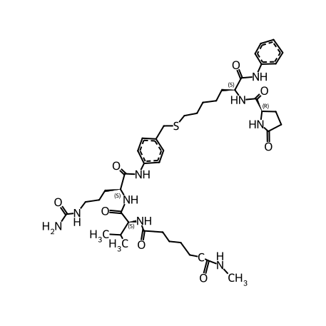 CNC(=O)CCCCCC(=O)N[C@H](C(=O)N[C@@H](CCCNC(N)=O)C(=O)Nc1ccc(CSCCCCC[C@H](NC(=O)[C@H]2CCC(=O)N2)C(=O)Nc2ccccc2)cc1)C(C)C